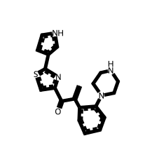 C=C(C(=O)c1csc(-c2cc[nH]c2)n1)c1ccccc1N1CCNCC1